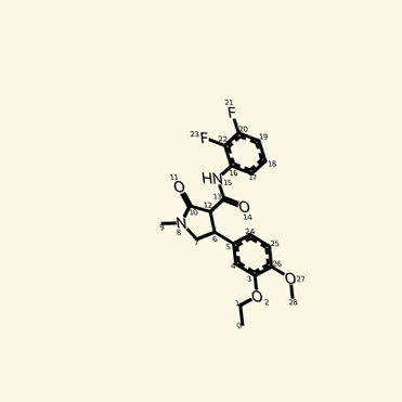 CCOc1cc(C2CN(C)C(=O)C2C(=O)Nc2cccc(F)c2F)ccc1OC